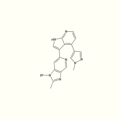 Cc1nc2cnc(-c3c[nH]c4nccc(-c5cnn(C)c5)c34)cc2n1C(C)C